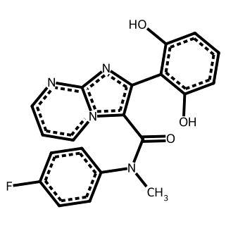 CN(C(=O)c1c(-c2c(O)cccc2O)nc2ncccn12)c1ccc(F)cc1